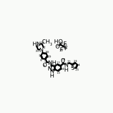 CC1CN(c2ccc(C(=O)Nc3n[nH]c4ccc(C(=O)NCc5cccs5)cc34)cc2)CCN1.O=C(O)C(F)(F)F